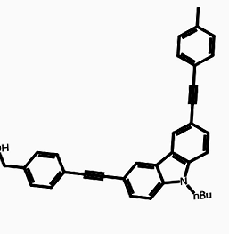 CCCCn1c2ccc(C#Cc3ccc(C)cc3)cc2c2cc(C#Cc3ccc(CO)cc3)ccc21